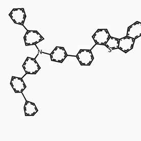 c1ccc(-c2ccc(N(c3ccc(-c4cccc(-c5ccccc5)c4)cc3)c3ccc(-c4cccc(-c5cccc6c5sc5ccc7ccccc7c56)c4)cc3)cc2)cc1